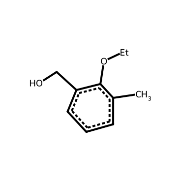 CCOc1c(C)cccc1CO